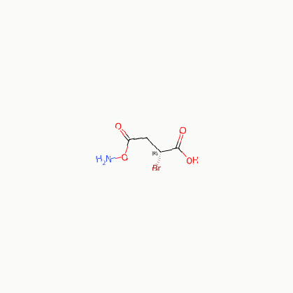 NOC(=O)C[C@@H](Br)C(=O)O